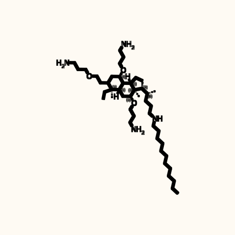 CCCCCCCCCCCCNCCC[C@@H](C)[C@H]1CC[C@H]2C3[C@H](OCCCN)CC(CCOCCCN)[C@](C)(CC)[C@H]3C[C@H](OCCCN)[C@]12C